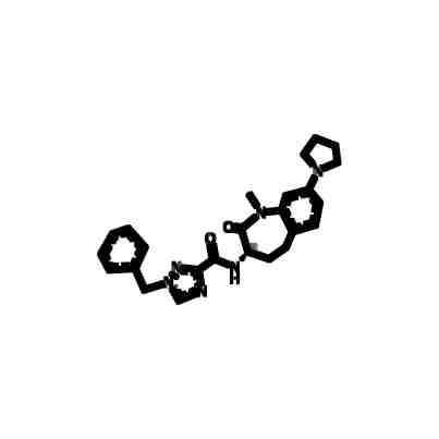 CN1C(=O)[C@@H](NC(=O)c2ncn(Cc3ccccc3)n2)CCc2ccc(N3CCCC3)cc21